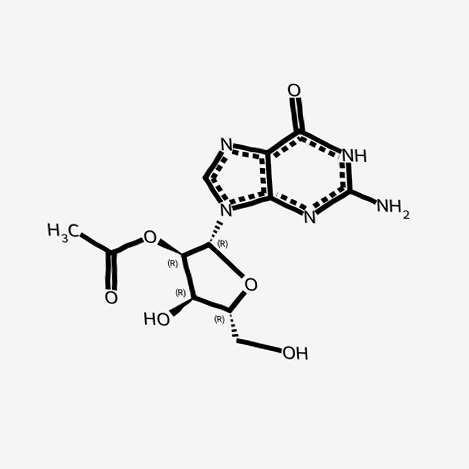 CC(=O)O[C@@H]1[C@H](O)[C@@H](CO)O[C@H]1n1cnc2c(=O)[nH]c(N)nc21